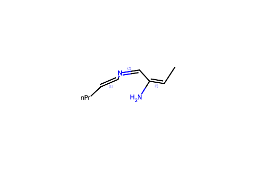 C\C=C(N)/C=N\C=C\CCC